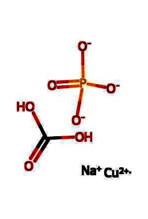 O=C(O)O.O=P([O-])([O-])[O-].[Cu+2].[Na+]